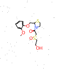 COc1ccccc1OCC1SCCN1C(=O)C[S+]([O-])CCO